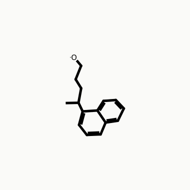 CC(CCC[O])c1cccc2ccccc12